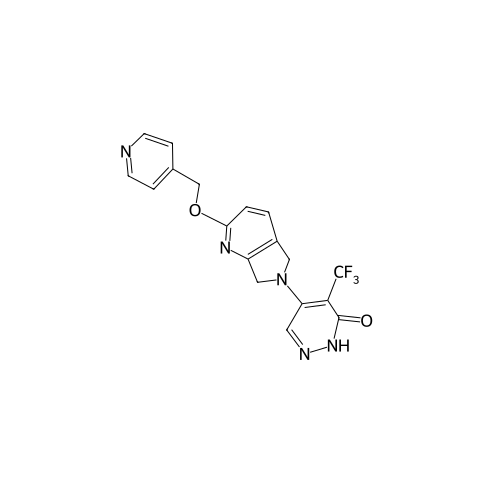 O=c1[nH]ncc(N2Cc3ccc(OCc4ccncc4)nc3C2)c1C(F)(F)F